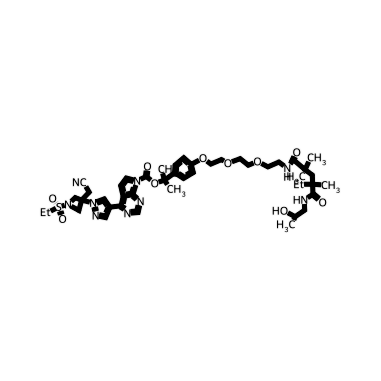 CCC(C)(CC(C)(C)C(=O)NCCOCCOCCOc1ccc(C(C)(C)OC(=O)n2ccc3c(-c4cnn(C5(CC#N)CN(S(=O)(=O)CC)C5)c4)ncnc32)cc1)C(=O)NCC(C)O